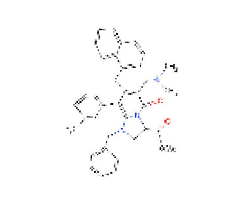 COC(=O)C1CN(Cc2ccccc2)c2c(-c3cccc(C(F)(F)F)c3)c(Cc3cccc4ccccc34)c(CN(C)C)c(=O)n21